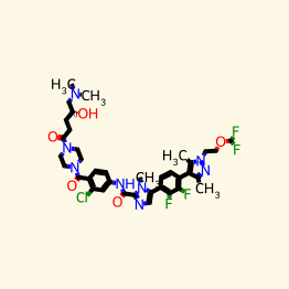 Cc1nn(CCOC(F)F)c(C)c1-c1ccc(-c2cnc(C(=O)Nc3ccc(C(=O)N4CCN(C(=O)CC[C@@H](O)CN(C)C)CC4)c(Cl)c3)n2C)c(F)c1F